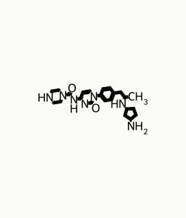 CC(Cc1ccc(-n2ccc(NC(=O)N3CCNCC3)nc2=O)cc1)N[C@H]1CC[C@@H](N)C1